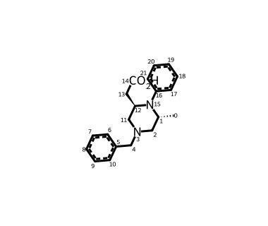 C[C@@H]1CN(Cc2ccccc2)C[C@@H](CC(=O)O)N1c1ccccc1